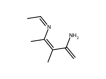 C=C(N)/C(C)=C(C)\N=C/C